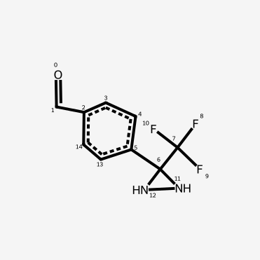 O=Cc1ccc(C2(C(F)(F)F)NN2)cc1